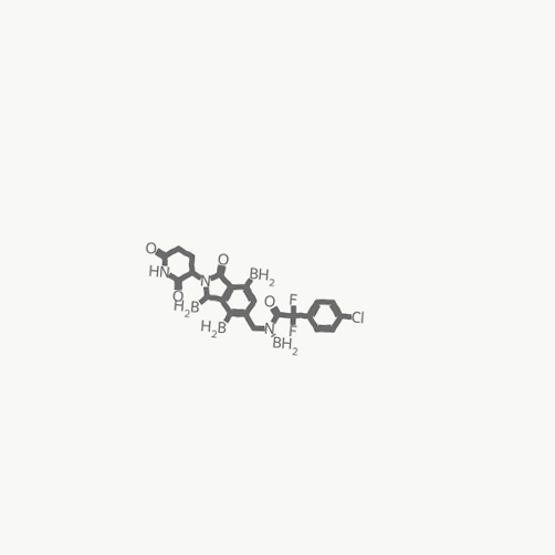 Bc1cc(CN(B)C(=O)C(F)(F)c2ccc(Cl)cc2)c(B)c2c1C(=O)N(C1CCC(=O)NC1=O)C2B